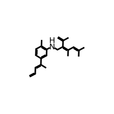 C=C/C=C(\C)c1ccc(C)c(NC/C(C(=C)C)=C(\C)C=C(C)C)c1